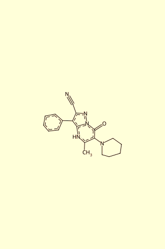 Cc1[nH]c2c(-c3ccccc3)c(C#N)nn2c(=O)c1N1CCCCC1